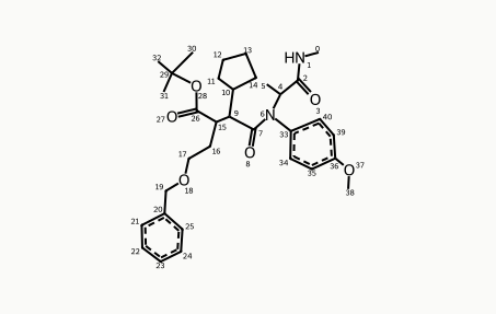 CNC(=O)C(C)N(C(=O)C(C1CCCC1)C(CCOCc1ccccc1)C(=O)OC(C)(C)C)c1ccc(OC)cc1